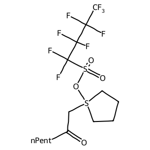 CCCCCC(=O)CS1(OS(=O)(=O)C(F)(F)C(F)(F)C(F)(F)C(F)(F)F)CCCC1